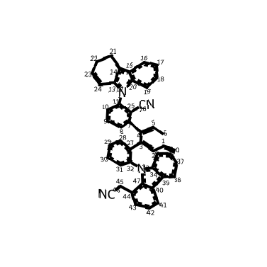 C=C/C=C(\C(=C/C)c1cccc(-n2c3c(c4ccccc42)CCC=C3)c1C#N)c1ccccc1-n1c2ccccc2c2cccc(CC#N)c21